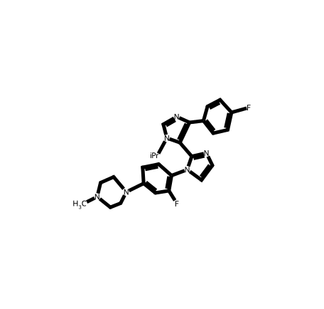 CC(C)n1cnc(-c2ccc(F)cc2)c1-c1nccn1-c1ccc(N2CCN(C)CC2)cc1F